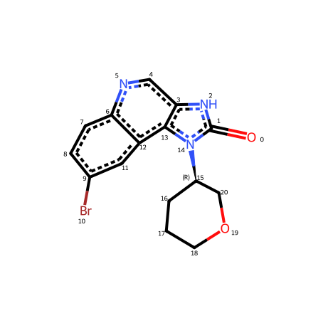 O=c1[nH]c2cnc3ccc(Br)cc3c2n1[C@@H]1CCCOC1